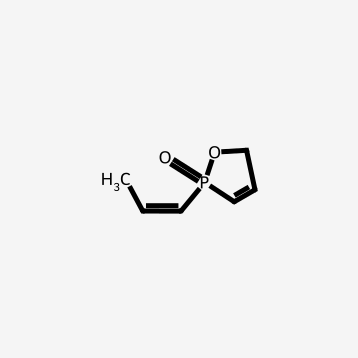 C/C=C\P1(=O)C=CCO1